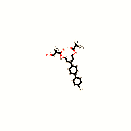 C=C(C)C(=O)OCCC(CCOC(O)C(=C)CO)C1CCC(C2CCC(CCCC)CC2)CC1